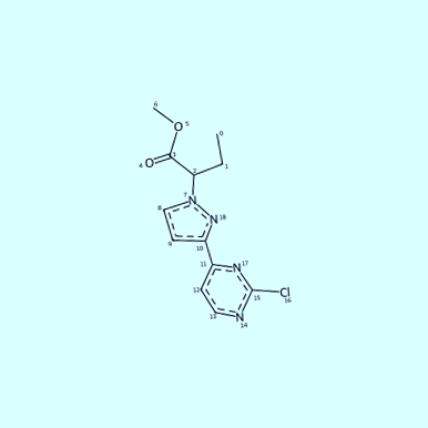 CCC(C(=O)OC)n1ccc(-c2ccnc(Cl)n2)n1